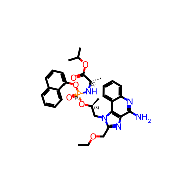 CCOCc1nc2c(N)nc3ccccc3c2n1C[C@H](C)O[P@@](=O)(N[C@@H](C)C(=O)OC(C)C)Oc1cccc2ccccc12